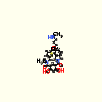 CNCCCOc1ccc2c(c1)CN(C(=O)c1cc(C(=O)N(C)Cc3ccc(C)s3)c(O)cc1O)C2